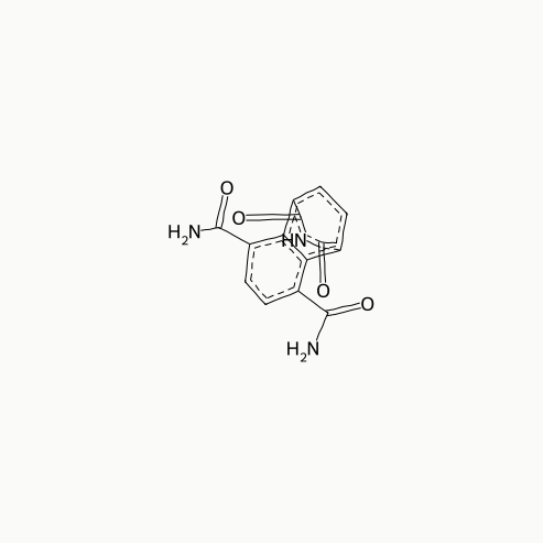 NC(=O)c1ccc(C(N)=O)c2c3ccc(c(=O)[nH]c3=O)c12